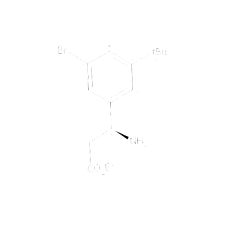 CCOC(=O)C[C@H](N)c1cc(Br)cc(C(C)(C)C)c1